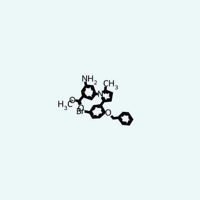 COC(=O)c1cc(N)cc(-n2c(C)ccc2-c2cc(Br)ccc2OCc2ccccc2)c1